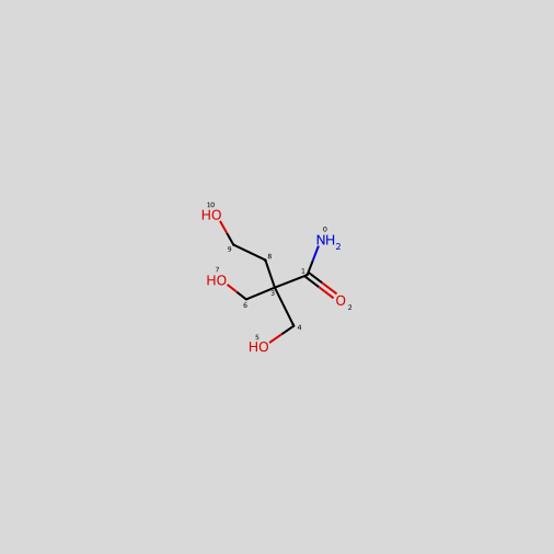 NC(=O)C(CO)(CO)CCO